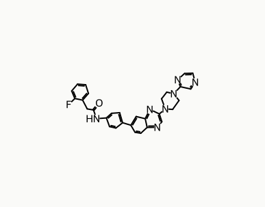 O=C(Cc1ccccc1F)Nc1ccc(-c2ccc3ncc(N4CCN(c5cnccn5)CC4)nc3c2)cc1